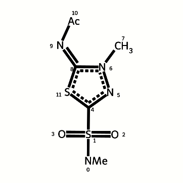 CNS(=O)(=O)c1nn(C)c(=NC(C)=O)s1